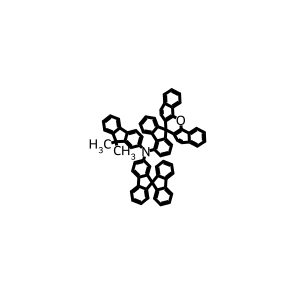 CC1(C)c2ccccc2-c2ccc(N(c3ccc4c(c3)C3(c5ccccc5-c5ccccc53)c3ccccc3-4)c3cccc4c3-c3ccccc3C43c4ccc5ccccc5c4Oc4c3ccc3ccccc43)cc21